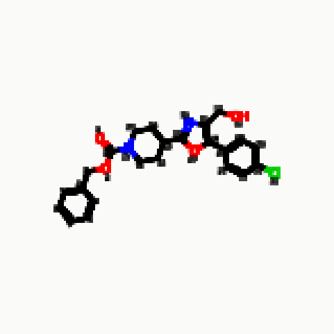 O=C(OCc1ccccc1)N1CCC(c2nc(CO)c(-c3ccc(Cl)cc3)o2)CC1